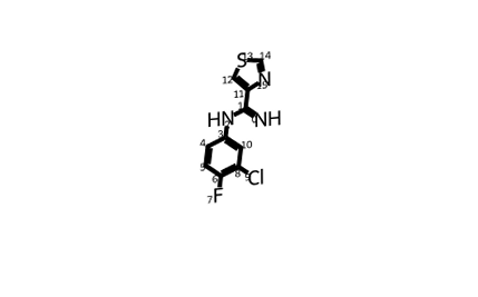 N=C(Nc1ccc(F)c(Cl)c1)c1cscn1